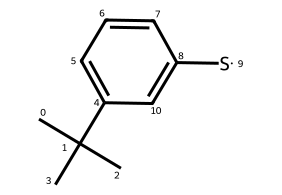 CC(C)(C)c1cccc([S])c1